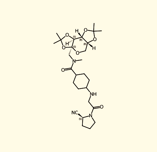 CN(C[C@@]12OC[C@H]3OC(C)(C)O[C@H]3[C@@H]1OC(C)(C)O2)C(=O)C1CCC(NCC(=O)N2CCC[C@H]2C#N)CC1